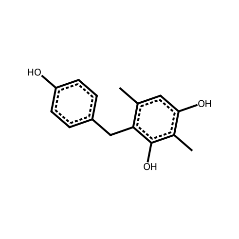 Cc1cc(O)c(C)c(O)c1Cc1ccc(O)cc1